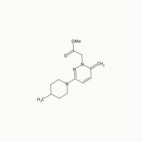 C=C1C=CC(N2CCC(C)CC2)=NN1CC(=O)OC